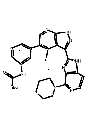 CCCCC(=O)Nc1cncc(-c2cnc3[nH]nc(-c4nc5c(N6CCCCC6)nccc5[nH]4)c3c2F)c1